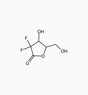 O=C1OC(CO)C(O)C1(F)F